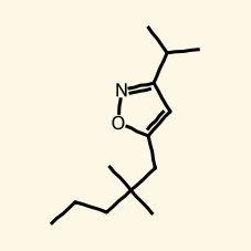 CCCC(C)(C)Cc1cc(C(C)C)no1